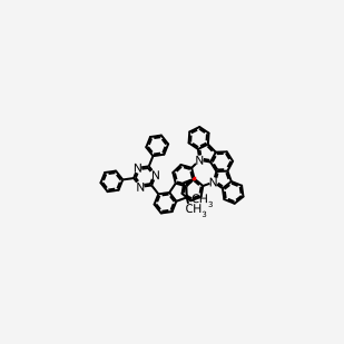 CC1(C)c2cc(-n3c4ccccc4c4ccc5c6ccccc6n(-c6ccccc6)c5c43)ccc2-c2c(-c3nc(-c4ccccc4)nc(-c4ccccc4)n3)cccc21